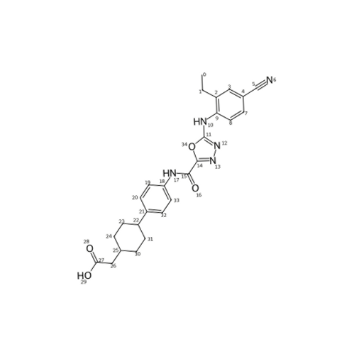 CCc1cc(C#N)ccc1Nc1nnc(C(=O)Nc2ccc(C3CCC(CC(=O)O)CC3)cc2)o1